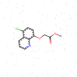 [2H]OC(=O)COc1ccc(Cl)c2cccnc12